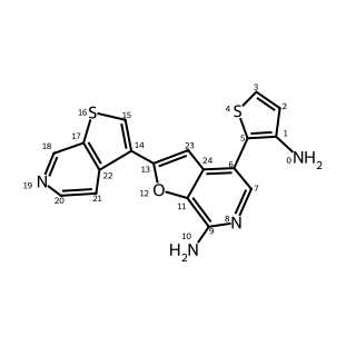 Nc1ccsc1-c1cnc(N)c2oc(-c3csc4cnccc34)cc12